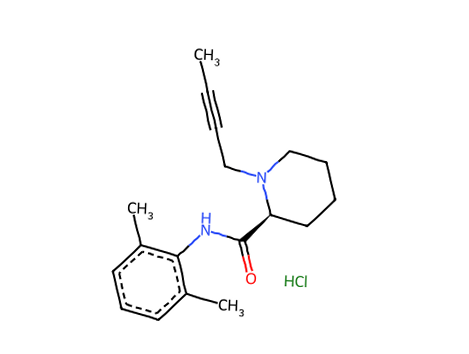 CC#CCN1CCCC[C@H]1C(=O)Nc1c(C)cccc1C.Cl